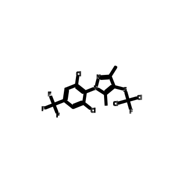 Cc1nn(-c2c(Cl)cc(C(F)(F)F)cc2Cl)c(C)c1SC(F)(Cl)Cl